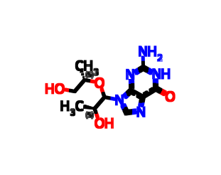 C[C@H](O)C(O[C@@H](C)CO)n1cnc2c(=O)[nH]c(N)nc21